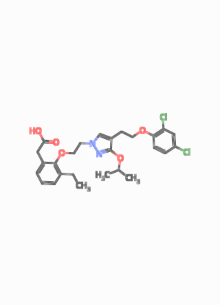 CCc1cccc(CC(=O)O)c1OCCn1cc(CCOc2ccc(Cl)cc2Cl)c(OC(C)C)n1